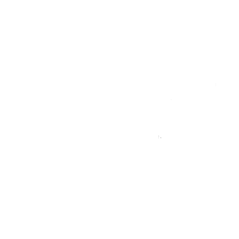 CCOC(=O)c1c2ccc(OCCOCCO)cc2n2ccccc12